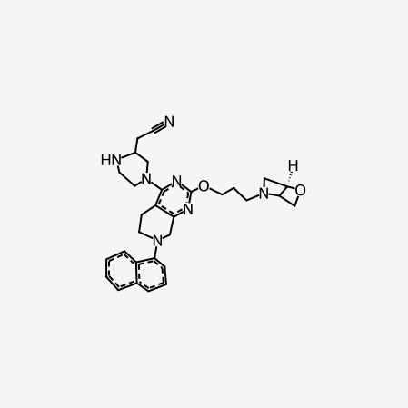 N#CCC1CN(c2nc(OCCCN3C[C@H]4OCC43)nc3c2CCN(c2cccc4ccccc24)C3)CCN1